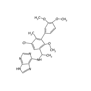 COc1ccc(-c2c(C)c(Cl)cc(C(C)Nc3ncnc4[nH]cnc34)c2OC)cc1OC